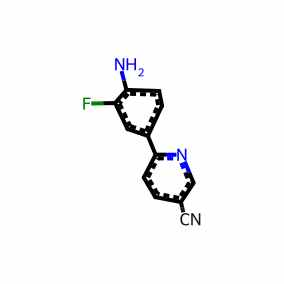 N#Cc1ccc(-c2ccc(N)c(F)c2)nc1